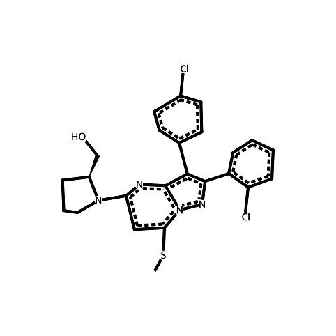 CSc1cc(N2CCC[C@H]2CO)nc2c(-c3ccc(Cl)cc3)c(-c3ccccc3Cl)nn12